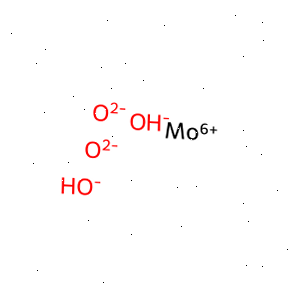 [Mo+6].[O-2].[O-2].[OH-].[OH-]